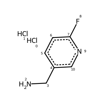 Cl.Cl.NCc1ccc(F)nc1